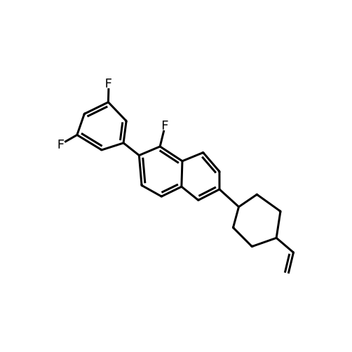 C=CC1CCC(c2ccc3c(F)c(-c4cc(F)cc(F)c4)ccc3c2)CC1